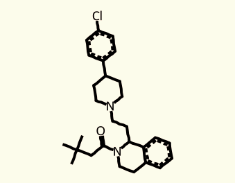 CC(C)(C)CC(=O)N1CCc2ccccc2C1CCN1CCC(c2ccc(Cl)cc2)CC1